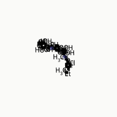 CCN(C)Cc1ccc(OC/C=C(\C)[C@H]2O[C@@H](Oc3ccc(/C=C(\C)C(=O)N[C@@H]4[C@H](O)[C@@H](O)[C@H]5OCO[C@H]5[C@@H]4O)cc3O)[C@@H](O)[C@@H]2O)c(Cl)c1